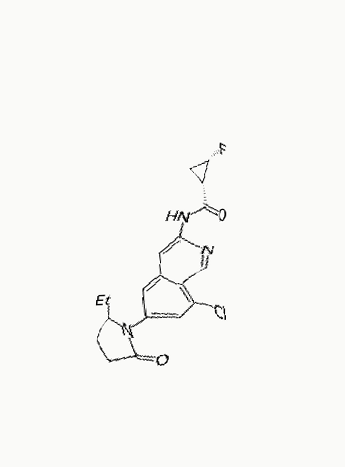 CCC1CCC(=O)N1c1cc(Cl)c2cnc(NC(=O)[C@@H]3C[C@@H]3F)cc2c1